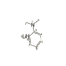 CN(C)c1cc[c]cc1.[LiH]